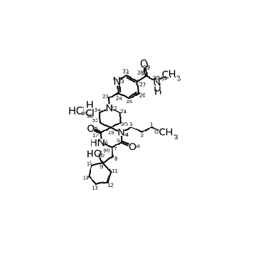 CCCCN1C(=O)[C@@H](CC2(O)CCCCC2)NC(=O)C12CCN(Cc1ccc(C(=O)NC)cn1)CC2.Cl.Cl